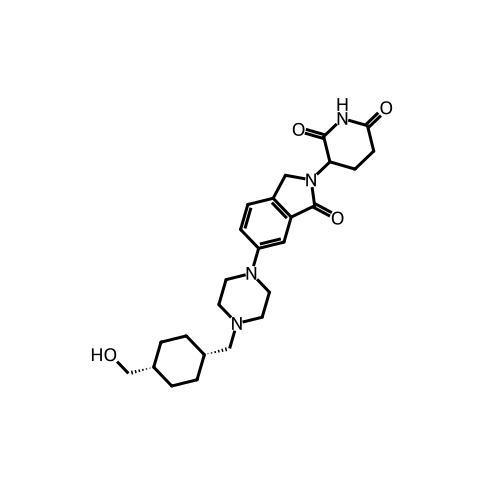 O=C1CCC(N2Cc3ccc(N4CCN(C[C@H]5CC[C@@H](CO)CC5)CC4)cc3C2=O)C(=O)N1